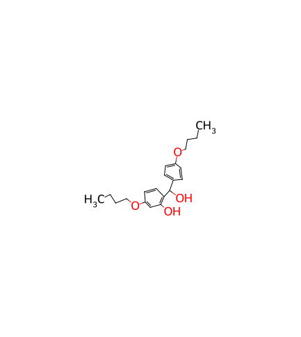 CCCCOc1ccc(C(O)c2ccc(OCCCC)cc2O)cc1